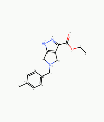 CCOC(=O)c1n[nH]c2c1CN(Cc1ccc(C)cc1)C2